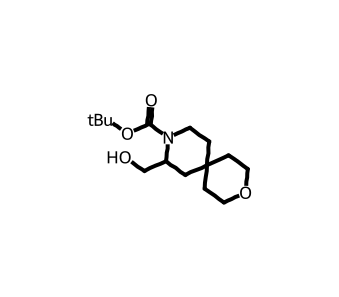 CC(C)(C)OC(=O)N1CCC2(CCOCC2)CC1CO